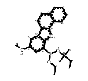 CCOB(OC(C)(C)CC)c1cc(OC)cc2c1oc1c3ccccc3ccc21